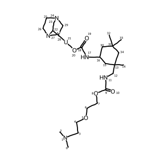 CN(C)CCOCCOC(=O)NCC1(C)CC(NC(=O)[O][U][CH]2CN3CC[N]2[Y][CH2]3)CC(C)(C)C1